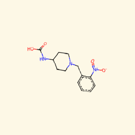 O=C(O)NC1CCN(Cc2ccccc2[N+](=O)[O-])CC1